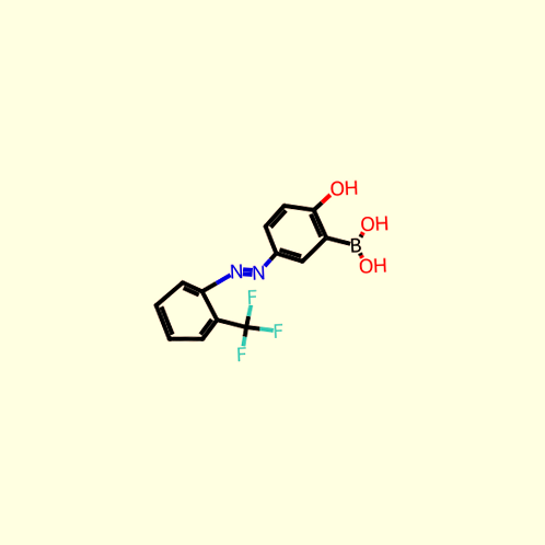 OB(O)c1cc(N=Nc2ccccc2C(F)(F)F)ccc1O